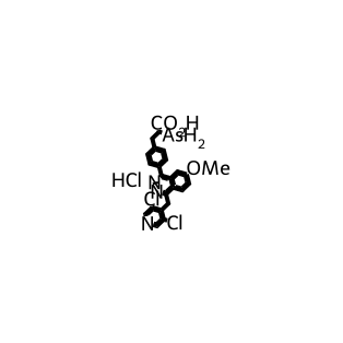 COc1ccc2c(Cc3c(Cl)cncc3Cl)nnc(-c3ccc(CC([AsH2])C(=O)O)cc3)c2c1.Cl